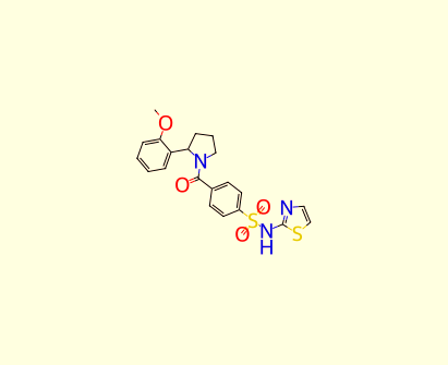 COc1ccccc1C1CCCN1C(=O)c1ccc(S(=O)(=O)Nc2nccs2)cc1